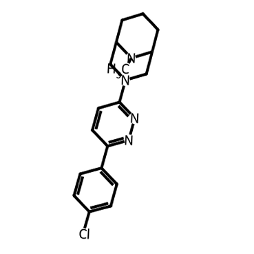 CN1C2CCCC1CN(c1ccc(-c3ccc(Cl)cc3)nn1)C2